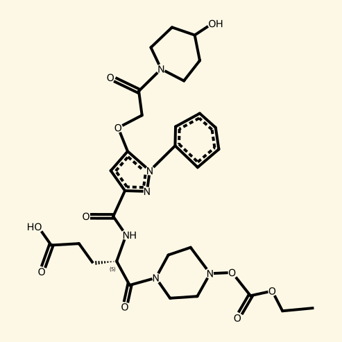 CCOC(=O)ON1CCN(C(=O)[C@H](CCC(=O)O)NC(=O)c2cc(OCC(=O)N3CCC(O)CC3)n(-c3ccccc3)n2)CC1